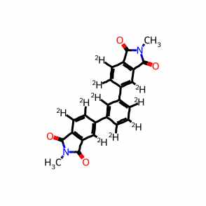 [2H]c1c([2H])c(-c2c([2H])c([2H])c3c(c2[2H])C(=O)N(C)C3=O)c([2H])c(-c2c([2H])c([2H])c3c(c2[2H])C(=O)N(C)C3=O)c1[2H]